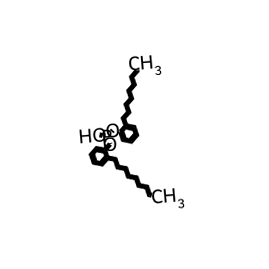 CCCCCCCCCc1ccccc1OP(O)Oc1ccccc1CCCCCCCCC